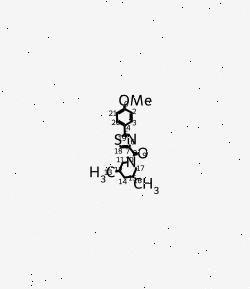 COc1ccc(-c2nc(C(=O)N3CC(C)CC(C)C3)cs2)cc1